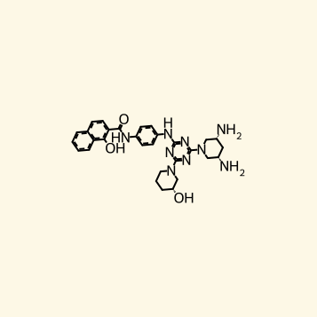 N[C@@H]1C[C@H](N)CN(c2nc(Nc3ccc(NC(=O)c4ccc5ccccc5c4O)cc3)nc(N3CCC[C@@H](O)C3)n2)C1